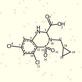 O=C(O)C1Nc2cc(Cl)cc(Cl)c2S(=O)(=O)N1CC1CC1